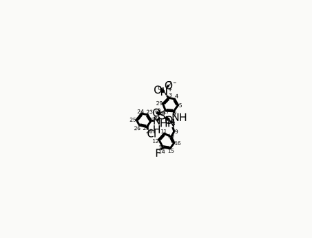 O=[N+]([O-])c1ccc(NNCc2ccc(F)cc2)c(S(=O)(=O)Nc2ccccc2Cl)c1